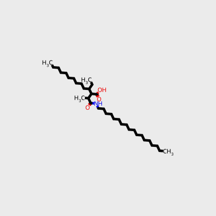 CCCCCCCCCCCCCCCCCCNC(=O)C(C)C(C(=O)O)C(CC)CCCCCCCCCC